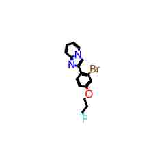 FCCCOc1ccc(-c2cn3ccccc3n2)c(Br)c1